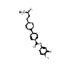 C=C(CC)CCC1CCC(c2ccc(C(=O)Oc3ccc(C#N)c(F)c3)cc2)CC1